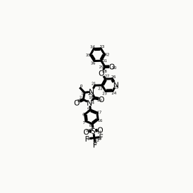 CC1C(=O)N(c2ccc(S(=O)(=O)C(F)(F)F)cc2)C(=O)N1Cc1ccncc1OC(=O)c1ccccc1